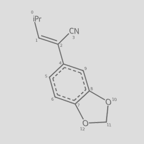 CC(C)/C=C(\C#N)c1ccc2c(c1)OCO2